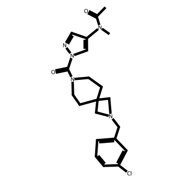 CC(=O)N(C)c1cnn(C(=O)N2CCC3(CC2)CN(Cc2cccc(Cl)c2)C3)c1